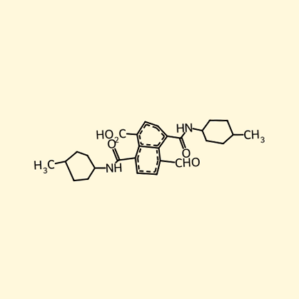 CC1CCC(NC(=O)c2ccc(C(=O)O)c3c(C(=O)NC4CCC(C)CC4)ccc(C=O)c23)CC1